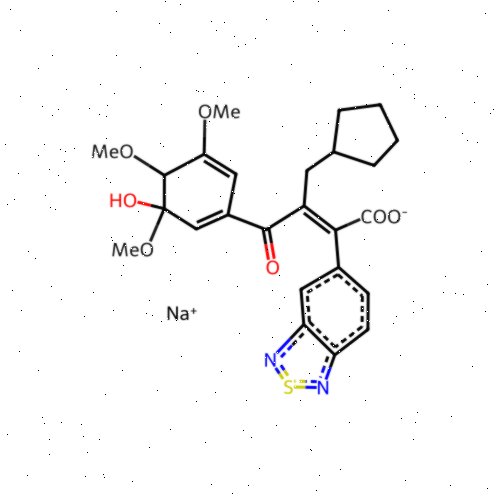 COC1=CC(C(=O)C(CC2CCCC2)=C(C(=O)[O-])c2ccc3nsnc3c2)=CC(O)(OC)C1OC.[Na+]